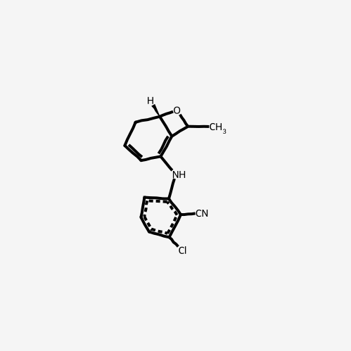 CC1O[C@H]2CC=CC(Nc3cccc(Cl)c3C#N)=C12